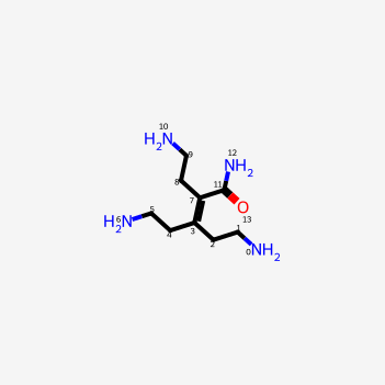 NCCC(CCN)=C(CCN)C(N)=O